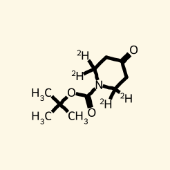 [2H]C1([2H])CC(=O)CC([2H])([2H])N1C(=O)OC(C)(C)C